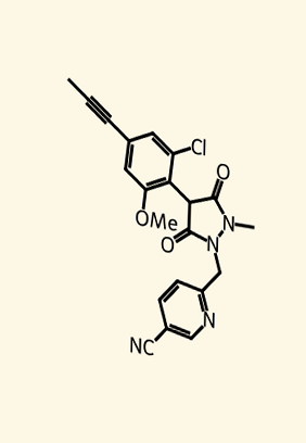 CC#Cc1cc(Cl)c(C2C(=O)N(C)N(Cc3ccc(C#N)cn3)C2=O)c(OC)c1